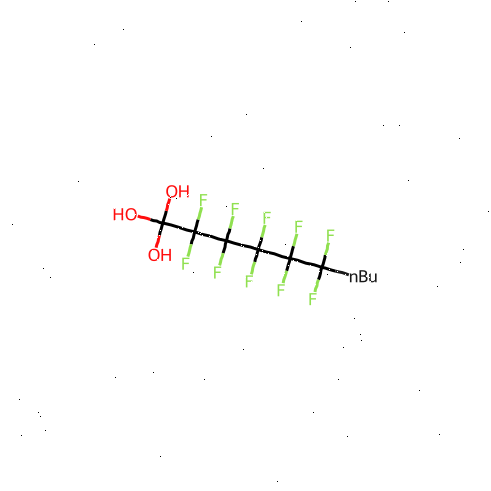 CCCCC(F)(F)C(F)(F)C(F)(F)C(F)(F)C(F)(F)C(O)(O)O